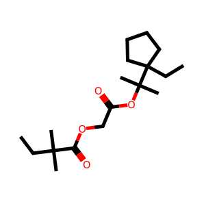 CCC(C)(C)C(=O)OCC(=O)OC(C)(C)C1(CC)CCCC1